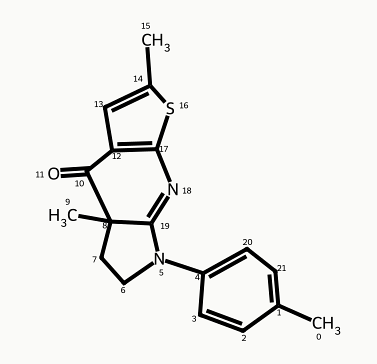 Cc1ccc(N2CCC3(C)C(=O)c4cc(C)sc4N=C23)cc1